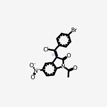 CC(=O)N1C(=O)/C(=C(/Cl)c2ccc(Br)cc2)c2cc([N+](=O)[O-])ccc21